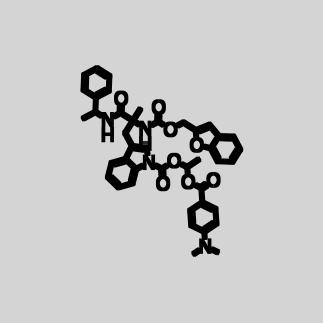 CC(OC(=O)c1ccc(N(C)C)cc1)OC(=O)n1cc(CC(C)(NC(=O)OCc2cc3ccccc3o2)C(=O)NC(C)c2ccccc2)c2ccccc21